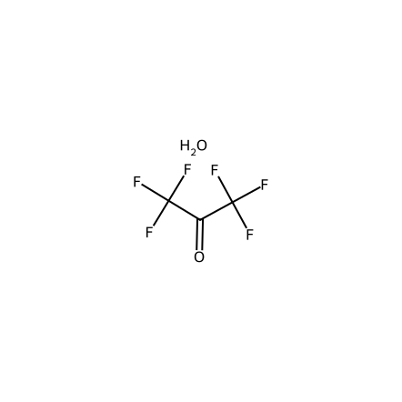 O.O=C(C(F)(F)F)C(F)(F)F